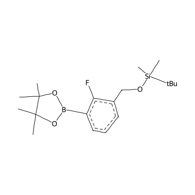 CC1(C)OB(c2cccc(CO[Si](C)(C)C(C)(C)C)c2F)OC1(C)C